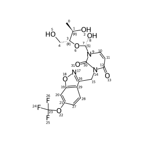 C[C@@H](O)[C@@H](CO)O[C@H](O)n1ccc(=O)n(Cc2noc3cc(OC(F)(F)F)ccc23)c1=O